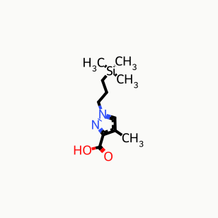 Cc1cn(CCC[Si](C)(C)C)nc1C(=O)O